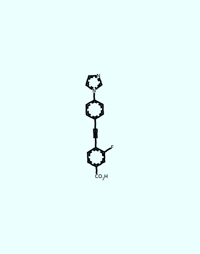 O=C(O)c1ccc(C#Cc2ccc(-n3ccnc3)cc2)c(F)c1